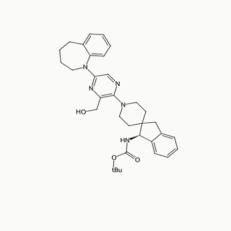 CC(C)(C)OC(=O)N[C@@H]1c2ccccc2CC12CCN(c1ncc(N3CCCCc4ccccc43)nc1CO)CC2